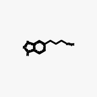 CCCCCCCCCCc1ccc2[nH]nnc2c1